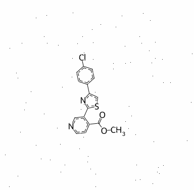 COC(=O)c1ccncc1-c1nc(-c2ccc(Cl)cc2)cs1